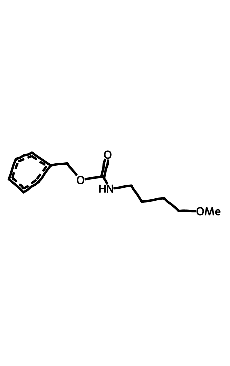 COCCCCNC(=O)OCc1ccccc1